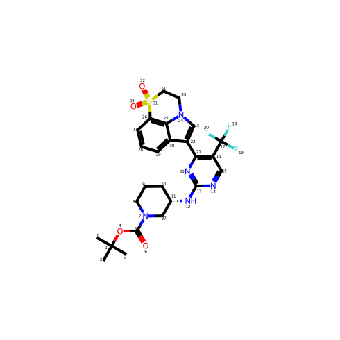 CC(C)(C)OC(=O)N1CCC[C@H](Nc2ncc(C(F)(F)F)c(-c3cn4c5c(cccc35)S(=O)(=O)CC4)n2)C1